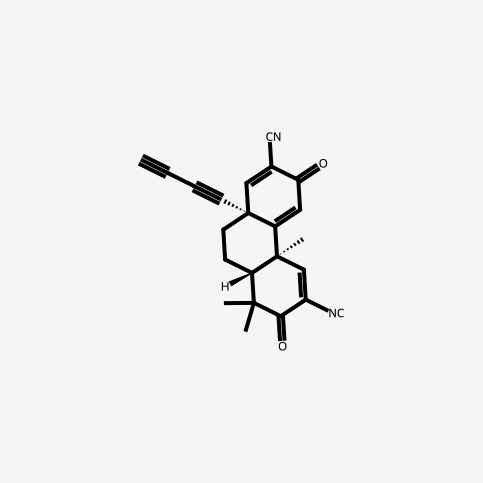 [C-]#[N+]C1=C[C@]2(C)C3=CC(=O)C(C#N)=C[C@]3(C#CC#C)CC[C@H]2C(C)(C)C1=O